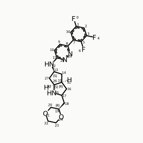 Fc1cc(F)c(F)c(-c2ccc(N[C@H]3C[C@H]4CC(C[C@@H]5COCCO5)N[C@H]4C3)nn2)c1